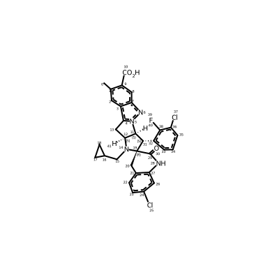 Cc1cc2c3n(nc2cc1C(=O)O)[C@@H]1[C@H](C3)N(CC2CC2)[C@]2(Cc3ccc(Cl)cc3NC2=O)[C@H]1c1cccc(Cl)c1F